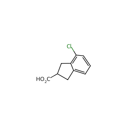 O=C(O)C1Cc2cccc(Cl)c2C1